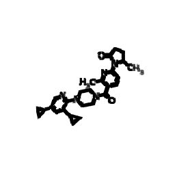 Cc1nc(N2C(=O)CCC2C)ccc1C(=O)N1CCN(c2ncc(C3CC3)cc2C2CC2)CC1